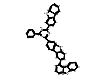 c1ccc(-c2nc(-c3ccc4c(c3)oc3ccc(-c5cccc6oc7ccccc7c56)cc34)nc(-c3ccc4c(c3)sc3ccccc34)n2)cc1